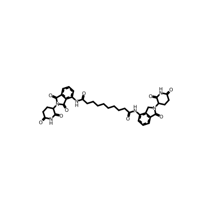 O=C1CCC(N2Cc3c(NC(=O)CCCCCCCCC(=O)Nc4cccc5c4C(=O)N(C4CCC(=O)NC4=O)C5=O)cccc3C2=O)C(=O)N1